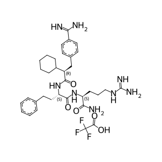 N=C(N)NCCC[C@H](NC(=O)[C@H](CCc1ccccc1)NC(=O)[C@H](Cc1ccc(C(=N)N)cc1)C1CCCCC1)C(N)=O.O=C(O)C(F)(F)F